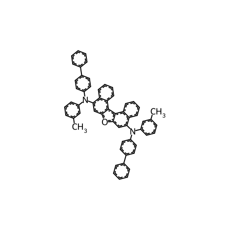 Cc1cccc(N(c2ccc(-c3ccccc3)cc2)c2cc3oc4cc(N(c5ccc(-c6ccccc6)cc5)c5cccc(C)c5)c5ccccc5c4c3c3ccccc23)c1